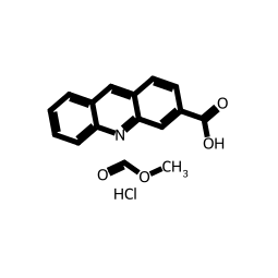 COC=O.Cl.O=C(O)c1ccc2cc3ccccc3nc2c1